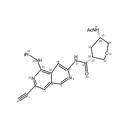 C#Cc1cc2cnc(NC(=O)[C@H]3CCC[C@@H](NC(C)=O)C3)cc2c(NC(C)C)n1